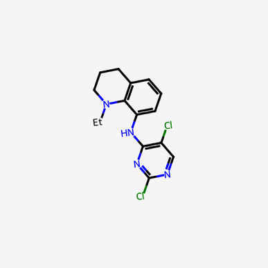 CCN1CCCc2cccc(Nc3nc(Cl)ncc3Cl)c21